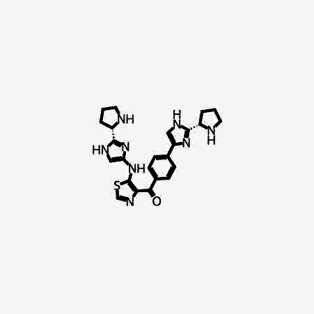 O=C(c1ccc(-c2c[nH]c([C@@H]3CCCN3)n2)cc1)c1ncsc1Nc1c[nH]c([C@@H]2CCCN2)n1